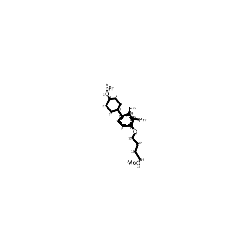 CCCOC1CCC(c2ccc(OCCCCOC)c(F)c2F)CC1